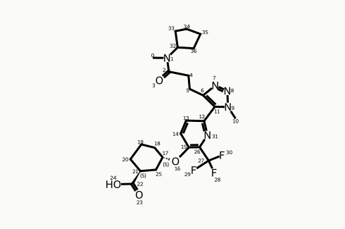 CN(C(=O)CCc1nnn(C)c1-c1ccc(O[C@H]2CCC[C@H](C(=O)O)C2)c(C(F)(F)F)n1)C1CCCC1